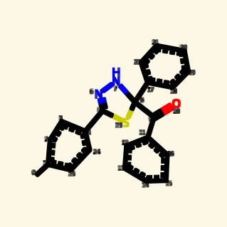 Cc1ccc(C2=NNC(C(=O)c3ccccc3)(c3ccccc3)S2)cc1